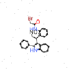 O=C(CBr)Nc1ccccc1C(C[N+](=O)[O-])c1c(-c2ccccc2)[nH]c2ccccc12